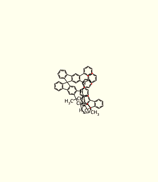 CC(C)(C)c1cc2c(cc1N(c1ccccc1)c1ccc3c(c1)-c1ccccc1C3(C)C)C1(c3ccccc3-c3cc(-c4ccccc4)c(N(c4ccccc4)c4ccc(C5C6CC7CC(C6)C5C7)cc4)cc31)c1ccccc1-2